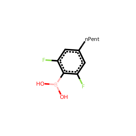 CCCCCc1cc(F)c(B(O)O)c(F)c1